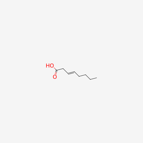 CCCCC=CCC(=O)O